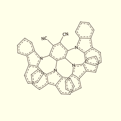 N#Cc1c(C#N)c(-n2c3ccccc3c3ccccc32)c(-n2c3ccccc3c3ccccc32)c(-n2c3ccccc3c3ccccc32)c1-n1c2ccccc2c2ccccc21